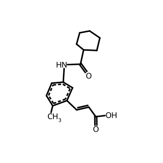 Cc1ccc(NC(=O)C2CCCCC2)cc1C=CC(=O)O